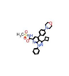 CS(=O)(=O)NC(=O)c1cc(-c2ccc(N3CCOCC3)cc2)c2c(C3CCC3)nn(-c3ccccc3)c2n1